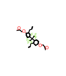 C=CCc1cc(C(c2ccc(OCC3CO3)cc2CC=C)(C(F)(F)F)C(F)(F)F)ccc1OCC1CO1